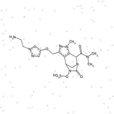 CN(C)C(=O)C1c2c(c(COc3cnn(CCN)c3)nn2C)C2CN1C(=O)N2OS(=O)(=O)O